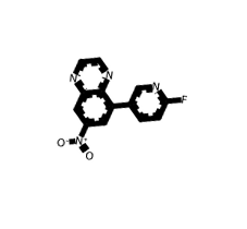 O=[N+]([O-])c1cc(-c2ccc(F)nc2)c2nccnc2c1